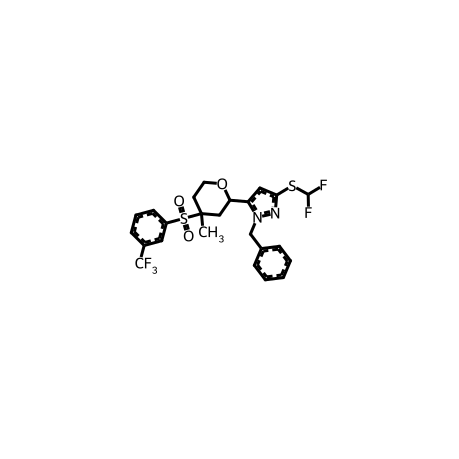 CC1(S(=O)(=O)c2cccc(C(F)(F)F)c2)CCOC(c2cc(SC(F)F)nn2Cc2ccccc2)C1